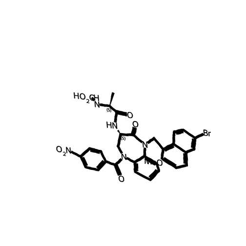 COc1ccc2cc(Br)ccc2c1CN1C(=O)[C@@H](NC(=O)[C@H](C)NC(=O)O)CN(C(=O)c2ccc([N+](=O)[O-])cc2)c2ccccc21